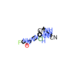 N#Cc1cc(Nc2nc(NC3CC3)c3ncc(C#N)n3n2)c(Cl)c(N2CCN(C3CN(C(=O)[C@@H]4C[C@H](F)CN4)C3)CC2)c1